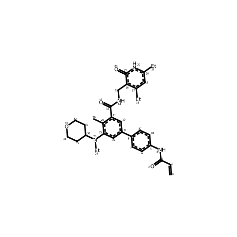 C=CC(=O)Nc1ccc(-c2cc(C(=O)NCc3c(CC)cc(CC)[nH]c3=O)c(C)c(N(CC)C3CCOCC3)c2)cc1